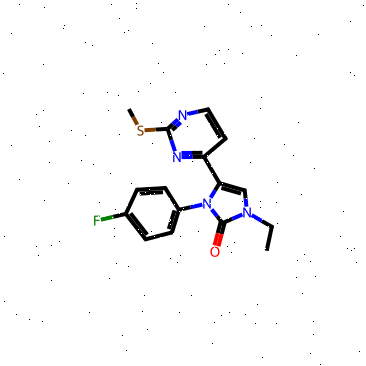 CCn1cc(-c2ccnc(SC)n2)n(-c2ccc(F)cc2)c1=O